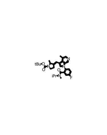 Cc1cncc2c1c(/C=C1\CCN(C(=O)OC(C)(C)C)C1C)cn2-c1ccc(F)cc1C(=O)N(C)C(C)C